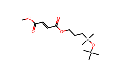 COC(=O)C=CC(=O)OCCC[Si](C)(C)O[Si](C)(C)C